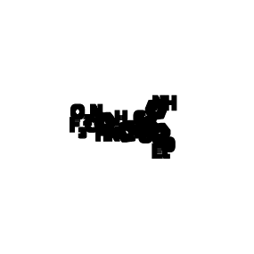 CCOc1ccc(C(C2CCNCC2)N(C)C(=O)N2CCC(Nc3ccc([N+](=O)[O-])c(C(F)(F)F)c3)CC2)cc1